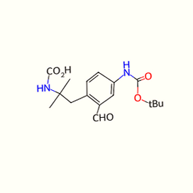 CC(C)(Cc1ccc(NC(=O)OC(C)(C)C)cc1C=O)NC(=O)O